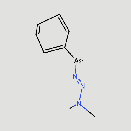 CN(C)N=N[As]c1ccccc1